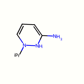 CC(C)N1C=CC=C(N)N1